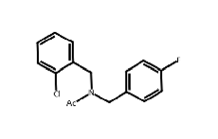 CC(=O)N(Cc1ccc(F)cc1)Cc1ccccc1Cl